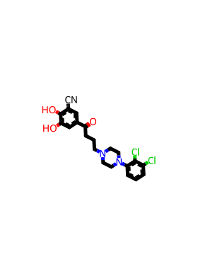 N#Cc1cc(C(=O)CCCN2CCN(c3cccc(Cl)c3Cl)CC2)cc(O)c1O